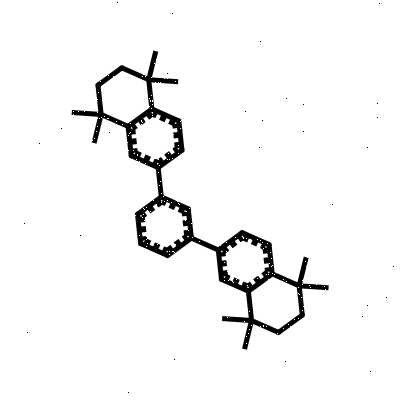 CC1(C)CCC(C)(C)c2cc(-c3cccc(-c4ccc5c(c4)C(C)(C)CCC5(C)C)c3)ccc21